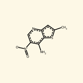 Cc1cc2ncc([N+](=O)[O-])c(N)c2s1